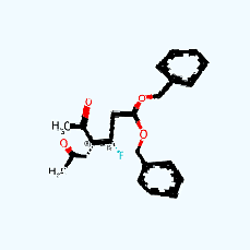 CC(=O)C[C@H](C(C)=O)[C@@H](F)CC(OCc1ccccc1)OCc1ccccc1